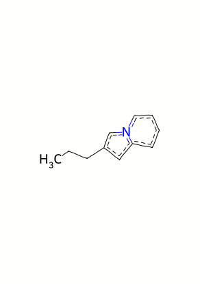 CCCc1cc2ccccn2c1